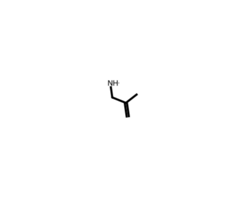 C=C(C)C[NH]